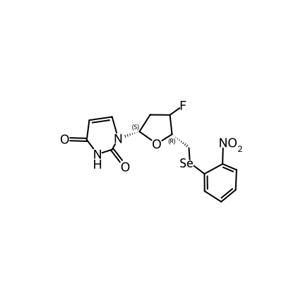 O=c1ccn([C@@H]2CC(F)[C@H](C[Se]c3ccccc3[N+](=O)[O-])O2)c(=O)[nH]1